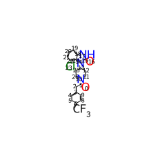 O=C(CC1=CCC(C(F)(F)F)C=C1)N1CCC(n2c(=O)[nH]c3cccc(Cl)c32)CC1